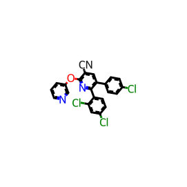 N#Cc1cc(-c2ccc(Cl)cc2)c(-c2ccc(Cl)cc2Cl)nc1Oc1cccnc1